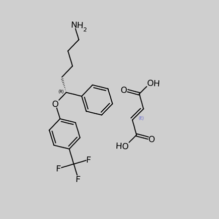 NCCCC[C@@H](Oc1ccc(C(F)(F)F)cc1)c1ccccc1.O=C(O)/C=C/C(=O)O